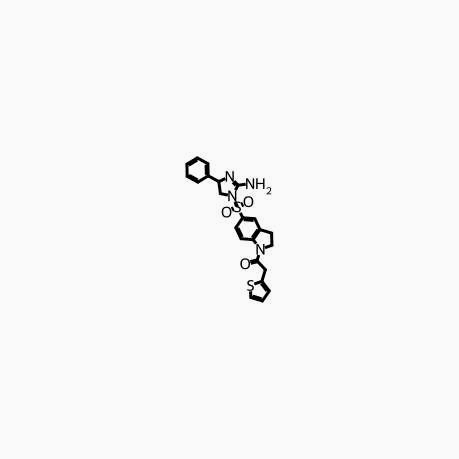 NC1=NC(c2ccccc2)CN1S(=O)(=O)c1ccc2c(c1)CCN2C(=O)Cc1cccs1